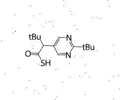 CC(C)(C)c1ncc(C(C(=O)S)C(C)(C)C)cn1